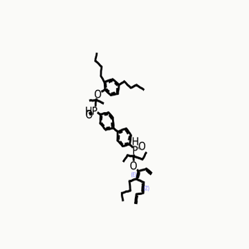 C=C/C=C\C(CCCC)=C(/C=C)OC(CC)(CC)[PH](=O)c1ccc(-c2ccc([PH](=O)C(C)(C)Oc3ccc(CCCC)cc3CCCC)cc2)cc1